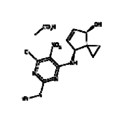 CC(=O)O.CCCSc1nc(Cl)c([N+](=O)[O-])c(N[C@H]2C=C[C@@H](O)C23CC3)n1